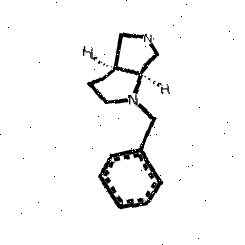 c1ccc(CN2CC[C@H]3C[N]C[C@H]32)cc1